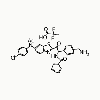 CC(=O)N(c1ccc(Cl)cc1)c1ccc2nc(C(=O)C(NC(=O)c3ccccc3)c3ccc(CN)cc3)sc2c1.O=C(O)C(F)(F)F